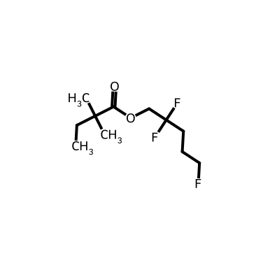 CCC(C)(C)C(=O)OCC(F)(F)CCCF